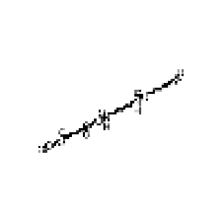 O=C=NCCCCCCCOC(=O)NCCCCCCCNC(=O)OCCOC(=O)CCCCC(=O)OCCOC=O